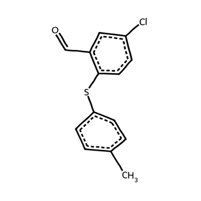 Cc1ccc(Sc2ccc(Cl)cc2C=O)cc1